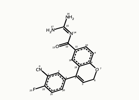 [C-]#[N+]c1cc(C2=CCOc3ccc(C(=O)N=C(N)N)cc32)ccc1F